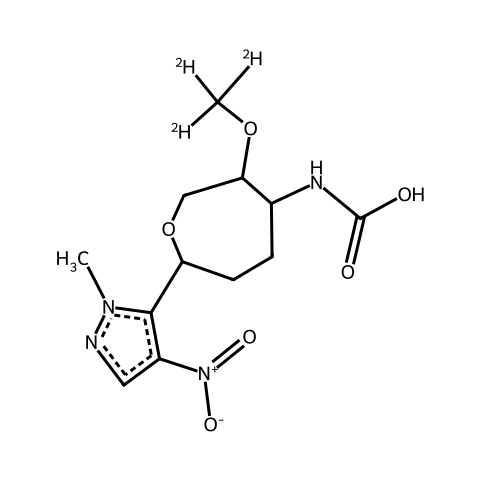 [2H]C([2H])([2H])OC1COC(c2c([N+](=O)[O-])cnn2C)CCC1NC(=O)O